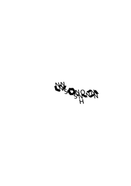 O=C(CN1CCn2ccnc2C1)Nc1nc2ccc(Sc3cnc4ncccn34)cc2s1